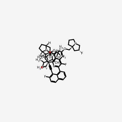 CC[C@H]1C[C@@H]2[C@@H]3CC[C@H](CN2c2nc(OC[C@@]45CCCN4C[C@H](F)C5)nc4c(F)c(-c5cccc6ccc(F)c(C#C[Si](C(C)C)(C(C)C)C(C)C)c56)nc1c24)N3C(=O)OC(C)(C)C